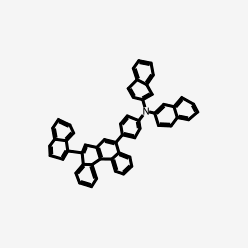 c1ccc2cc(N(c3ccc(-c4cc5cc(-c6cccc7ccccc67)c6ccccc6c5c5ccccc45)cc3)c3ccc4ccccc4c3)ccc2c1